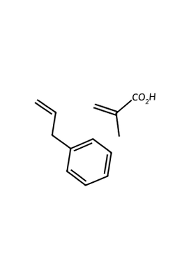 C=C(C)C(=O)O.C=CCc1ccccc1